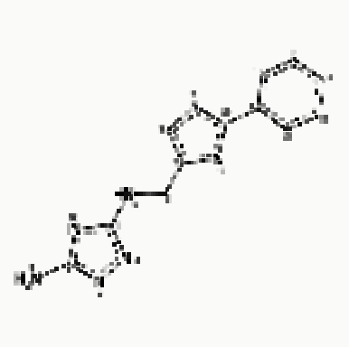 Nc1nnc(NCc2csc(-c3ccccc3)n2)[nH]1